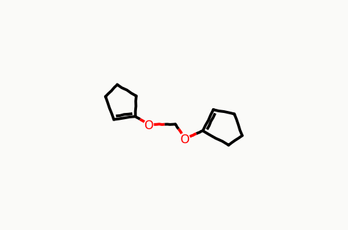 C1=C(OCOC2=CCCC2)CCC1